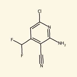 N#Cc1c(C(F)F)cc(Cl)nc1N